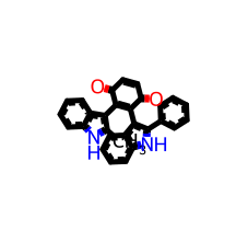 Cc1[nH]c2ccccc2c1C1=C(c2c(-c3ccccc3)[nH]c3ccccc23)C(=O)C=CC1=O